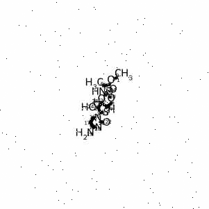 CCOC(=O)[C@@H](C)NP1(=O)OC[C@H]2S[C@@H](n3ccc(N)nc3=O)[C@@H](O)[C@@H]2O1